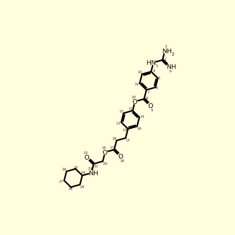 N=C(N)Nc1ccc(C(=O)Oc2ccc(CCC(=O)OCC(=O)NC3CCCCC3)cc2)cc1